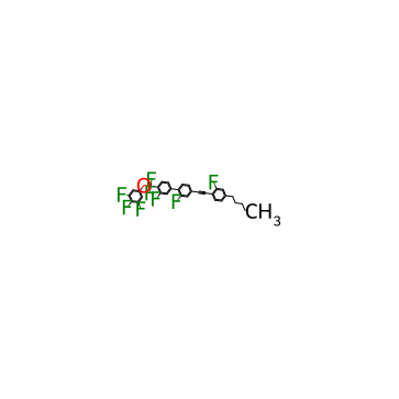 CCCCCc1ccc(C#Cc2ccc(-c3ccc(C(F)(F)Oc4cc(F)c(F)c(F)c4)c(F)c3)c(F)c2)c(F)c1